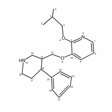 CC(C)COc1ncccc1OCC1CNCCC1c1ccccc1